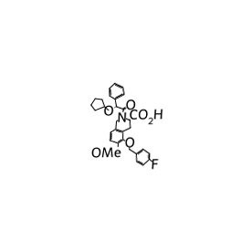 COc1ccc2c(c1OCc1ccc(F)cc1)C[C@@H](C(=O)O)N(C(=O)[C@H](OC1CCCC1)c1ccccc1)C2